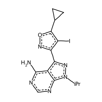 CC(C)n1nc(-c2noc(C3CC3)c2I)c2c(N)ncnc21